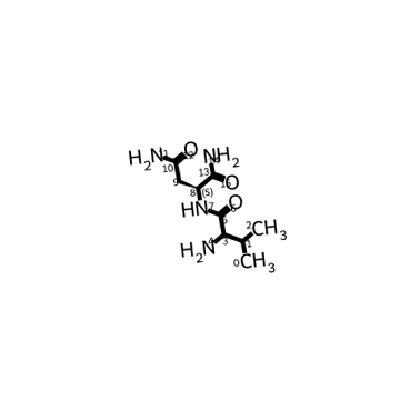 CC(C)C(N)C(=O)N[C@@H](CC(N)=O)C(N)=O